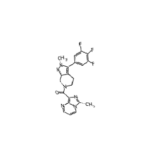 Cc1nc(C(=O)N2CCc3c(nn(C)c3-c3cc(F)c(F)c(F)c3)C2)c2ncccn12